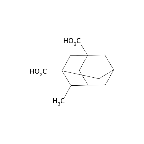 CC1C2CC3CC(C(=O)O)(C2)CC1(C(=O)O)C3